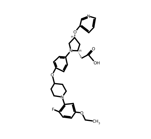 CCOc1ccc(F)c(N2CCC(Oc3ccc(N4C[C@H](Oc5cccnc5)C[C@@H]4CC(=O)O)cc3)CC2)c1